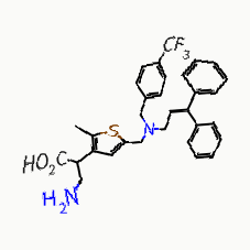 Cc1sc(CN(CCC(c2ccccc2)c2ccccc2)Cc2ccc(C(F)(F)F)cc2)cc1C(CN)C(=O)O